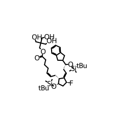 CC(C)(C)[Si](C)(C)O[C@H]1C[C@H](F)/C(=C/C[C@@H](O[Si](C)(C)C(C)(C)C)C2Cc3ccccc3C2)[C@H]1C/C=C\CCCC(=O)OCC(CO)(CO)CO